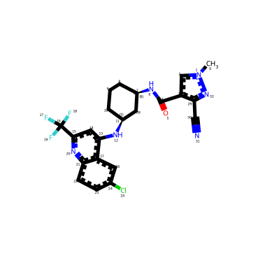 Cn1cc(C(=O)N[C@@H]2CCC[C@H](Nc3cc(C(F)(F)F)nc4ccc(Cl)cc34)C2)c(C#N)n1